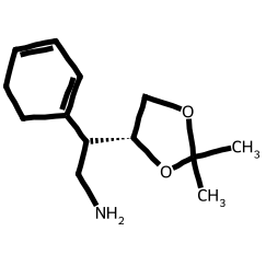 CC1(C)OC[C@@H](C(CN)C2=CC=CCC2)O1